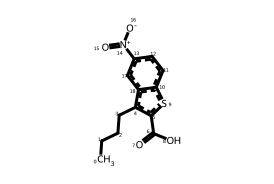 CCCCc1c(C(=O)O)sc2ccc([N+](=O)[O-])cc12